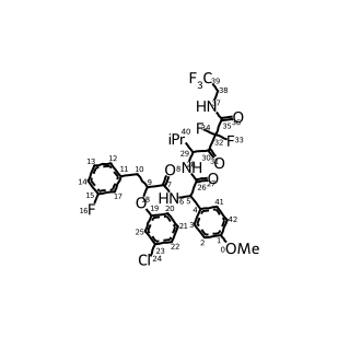 COc1ccc(C(NC(=O)C(Cc2cccc(F)c2)Oc2cccc(Cl)c2)C(=O)NC(C(=O)C(F)(F)C(=O)NCC(F)(F)F)C(C)C)cc1